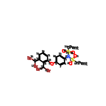 CCCCCS(=O)(=O)N(c1ccc(Oc2cccc(C(Br)Br)c2C(Br)Br)cc1)S(=O)(=O)CCCCC